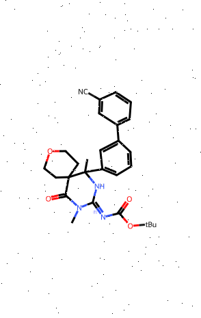 CN1C(=O)C2(CCOCC2)C(C)(c2cccc(-c3cccc(C#N)c3)c2)N/C1=N\C(=O)OC(C)(C)C